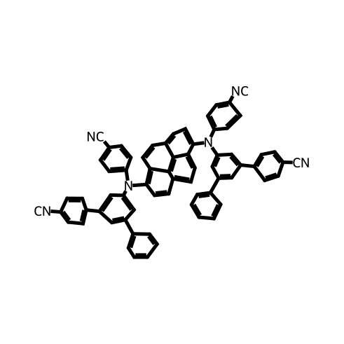 [C-]#[N+]c1ccc(-c2cc(-c3ccccc3)cc(N(c3ccc(C#N)cc3)c3ccc4ccc5c(N(c6ccc([N+]#[C-])cc6)c6cc(-c7ccccc7)cc(-c7ccc(C#N)cc7)c6)ccc6ccc3c4c65)c2)cc1